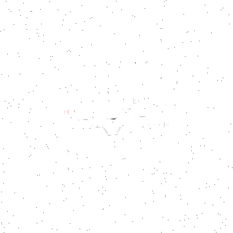 CCC(CCC(=O)O)Oc1cccc(SCCO)c1